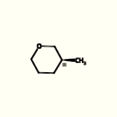 C[C@H]1CCCOC1